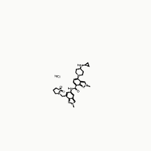 Cl.Cn1cc2cc(NC(=O)c3ccc(N4CCC(NC5CC5)CC4)c4cn(C)nc34)cc(CN3CCCS3(=O)=O)c2n1